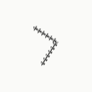 F[B-](F)(F)F.F[B-](F)(F)F.F[B-](F)(F)F.F[B-](F)(F)F.F[B-](F)(F)F.F[B-](F)(F)F.F[B-](F)(F)F.F[B-](F)(F)F.F[B-](F)(F)F.F[B-](F)(F)F.F[B-](F)(F)F.F[B-](F)(F)F.[Li]